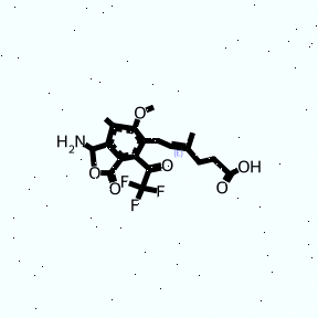 COc1c(C)c2c(c(C(=O)C(F)(F)F)c1C/C=C(\C)CCC(=O)O)C(=O)OC2N